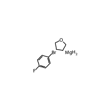 C1CCOC1.Fc1ccc(Br)cc1.[MgH2]